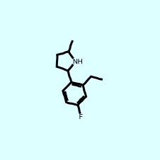 CCc1cc(F)ccc1C1CCC(C)N1